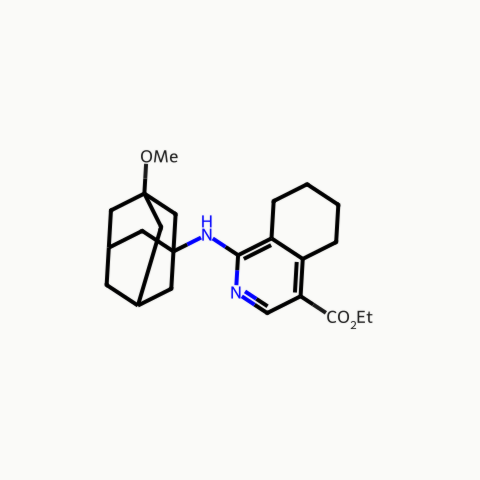 CCOC(=O)c1cnc(NC23CC4CC(C2)CC(OC)(C4)C3)c2c1CCCC2